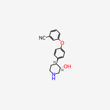 N#Cc1cccc(Oc2ccc([C@@H]3CCNC[C@H]3O)cc2)c1